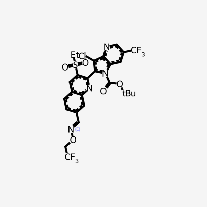 CCS(=O)(=O)c1cc2ccc(/C=N/OCC(F)(F)F)cc2nc1-c1c(Cl)c2ncc(C(F)(F)F)cc2n1C(=O)OC(C)(C)C